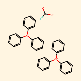 [O-]B([O-])F.c1ccc([O+](c2ccccc2)c2ccccc2)cc1.c1ccc([O+](c2ccccc2)c2ccccc2)cc1